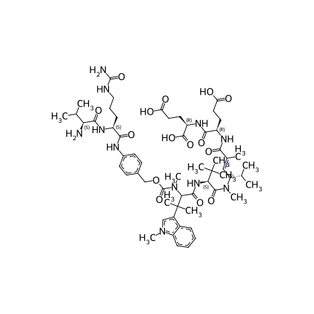 C/C(=C\[C@H](C(C)C)N(C)C(=O)[C@@H](NC(=O)C(N(C)C(=O)OCc1ccc(NC(=O)[C@H](CCCNC(N)=O)NC(=O)[C@@H](N)C(C)C)cc1)C(C)(C)c1cn(C)c2ccccc12)C(C)(C)C)C(=O)N[C@H](CCC(=O)O)C(=O)N[C@H](CCC(=O)O)C(=O)O